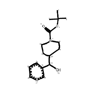 CC(C)(C)OC(=O)N1CCC(C(O)c2cccnc2)CC1